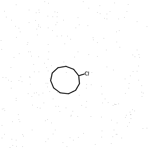 ClC1CCCCCCCCCC1